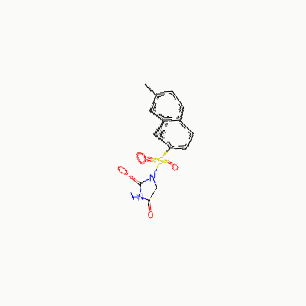 Cc1ccc2ccc(S(=O)(=O)N3CC(=O)NC3=O)cc2c1